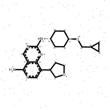 Nc1ncc(C2CCOC2)c2nc(N[C@H]3CC[C@H](OCC4CC4)CC3)ncc12